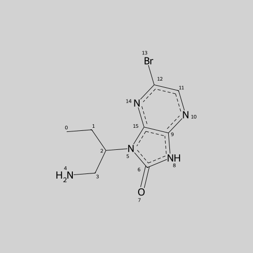 CCC(CN)n1c(=O)[nH]c2ncc(Br)nc21